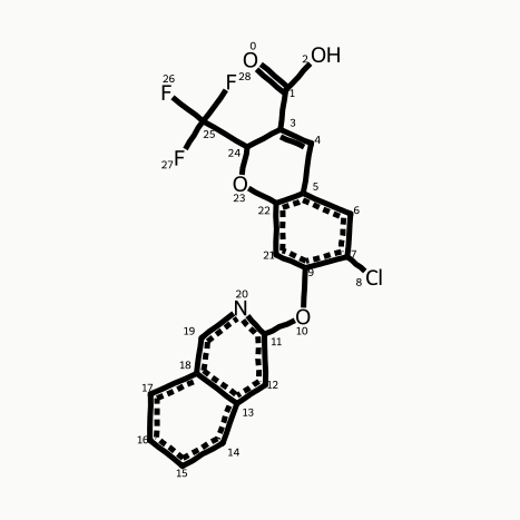 O=C(O)C1=Cc2cc(Cl)c(Oc3cc4ccccc4cn3)cc2OC1C(F)(F)F